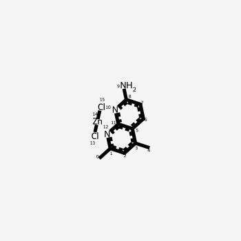 Cc1cc(C)c2ccc(N)nc2n1.[Cl][Zn][Cl]